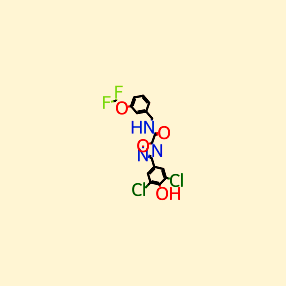 O=C(NCc1cccc(OC(F)F)c1)c1nc(-c2cc(Cl)c(O)c(Cl)c2)no1